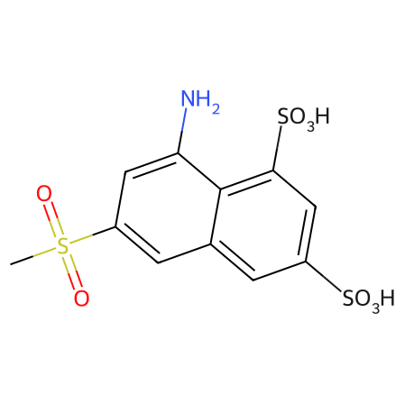 CS(=O)(=O)c1cc(N)c2c(S(=O)(=O)O)cc(S(=O)(=O)O)cc2c1